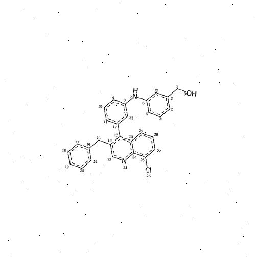 OCc1cccc(Nc2cccc(-c3c(Cc4ccccc4)cnc4c(Cl)cccc34)c2)c1